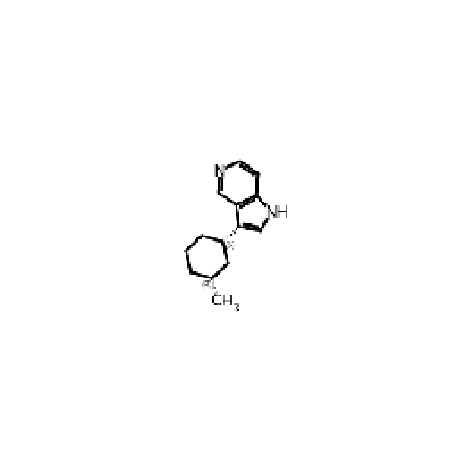 C[C@@H]1CCC[C@H](c2c[nH]c3ccncc23)C1